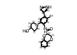 O=C(Nc1cc(F)c(-c2cn[nH]c2)cc1N1CCC(O)CC1)[C@@H]1COc2ccccc2O1